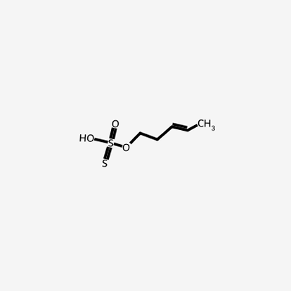 CC=CCCOS(=O)(O)=S